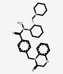 CN(C(=O)c1ccc(CN2C(=O)COc3ccccc32)cc1)[C@@H]1CCCC[C@H]1CN1CCCCC1